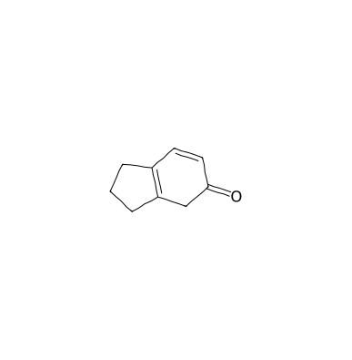 O=C1C=CC2=C(CCC2)C1